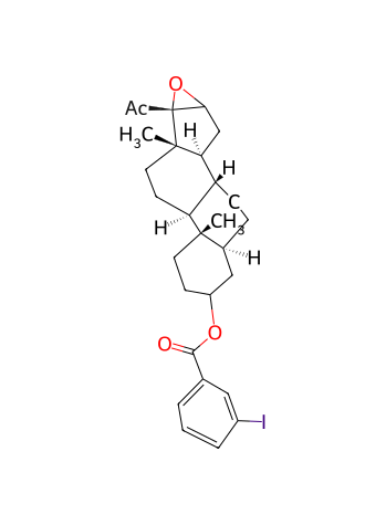 CC(=O)[C@@]12OC1C[C@H]1[C@@H]3CC[C@H]4CC(OC(=O)c5cccc(I)c5)CC[C@]4(C)[C@H]3CC[C@@]12C